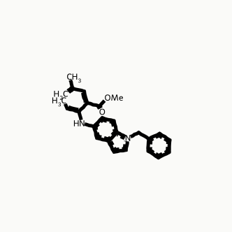 C=C(C)/C=C(C(=O)OC)\C(=C/C)Nc1ccc2c(ccn2Cc2ccccc2)c1